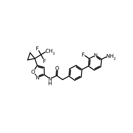 CC(F)(F)C1(c2cc(NC(=O)Cc3ccc(-c4ccc(N)nc4F)cc3)no2)CC1